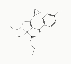 CCOC(=O)C1(SC)C(C(=O)c2ccc(Cl)cc2)=C(C2CC2)ON1SC